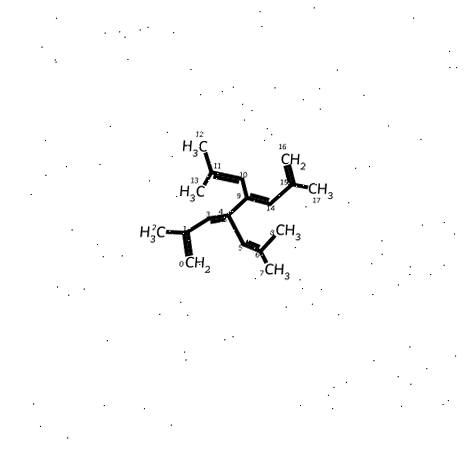 C=C(C)/C=C(C=C(C)C)/C(C=C(C)C)=C/C(=C)C